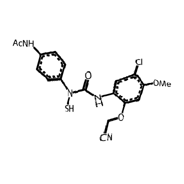 COc1cc(OCC#N)c(NC(=O)N(S)c2ccc(NC(C)=O)cc2)cc1Cl